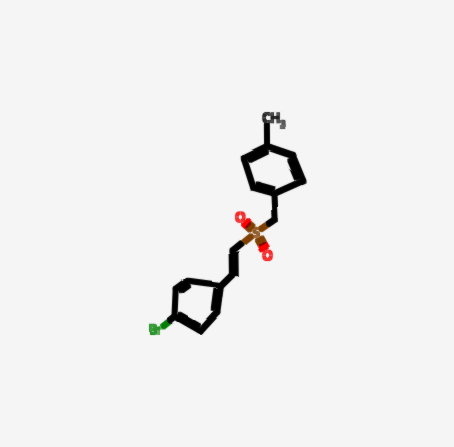 Cc1ccc(CS(=O)(=O)/C=C/c2ccc(Br)cc2)cc1